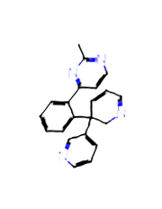 Cc1nccc(-c2ccccc2C2(c3cccnc3)C=CC=NC2)n1